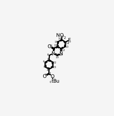 CC(C)(C)OC(=O)c1ccc(Cn2cnc3cc(F)c([N+](=O)[O-])cc3c2=O)cc1